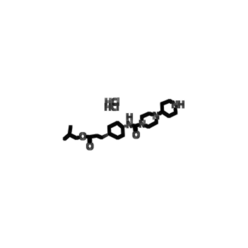 CC(C)COC(=O)CC[C@H]1CC[C@H](NC(=O)N2CCN(C3CCNCC3)CC2)CC1.Cl.Cl